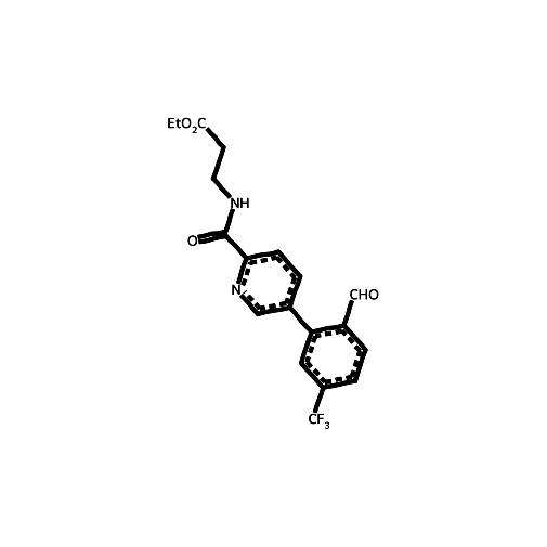 CCOC(=O)CCNC(=O)c1ccc(-c2cc(C(F)(F)F)ccc2C=O)cn1